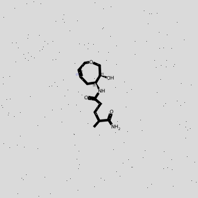 CC(C[CH]C(=O)N[C@H]1C/C=C\COC[C@H]1O)C(N)=O